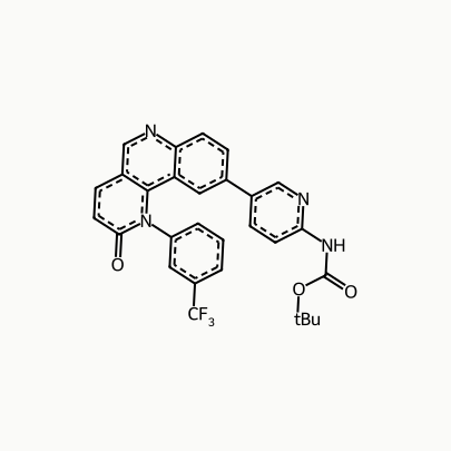 CC(C)(C)OC(=O)Nc1ccc(-c2ccc3ncc4ccc(=O)n(-c5cccc(C(F)(F)F)c5)c4c3c2)cn1